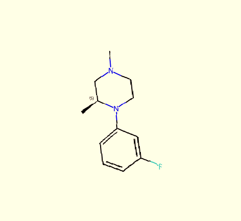 C[C@H]1CN(C)CCN1c1cccc(F)c1